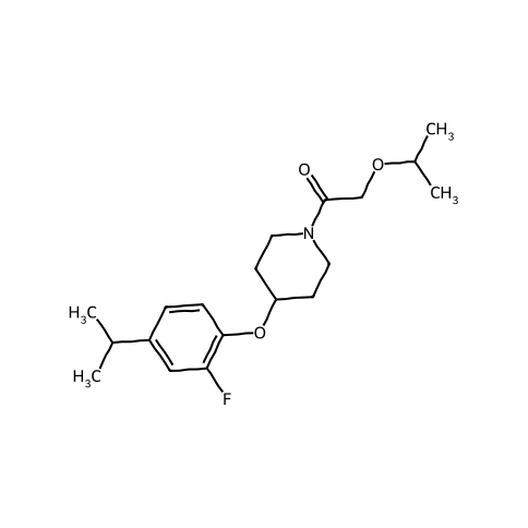 CC(C)OCC(=O)N1CCC(Oc2ccc(C(C)C)cc2F)CC1